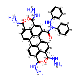 NNC(=O)c1ccc2c3ccc(C(=O)NN)c4c(C(=O)NN)cc(C(=O)N(Nc5ccccc5)c5ccccc5)c(c5ccc(C(=O)NN)c1c25)c43